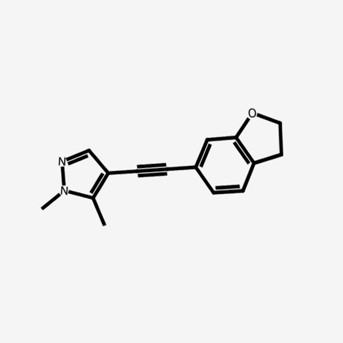 Cc1c(C#Cc2ccc3c(c2)OCC3)cnn1C